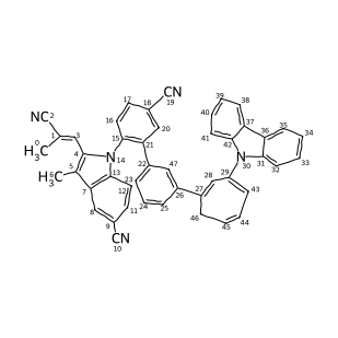 C/C(C#N)=C\c1c(C)c2cc(C#N)ccc2n1-c1ccc(C#N)cc1-c1cccc(C2=CC(n3c4ccccc4c4ccccc43)=CC=CC2)c1